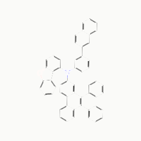 c1ccc(-c2c(-c3ccccc3)c3cc(N(c4cccc(-c5ccc6ccccc6c5)c4)c4cccc5oc6ccccc6c45)ccc3c3ccccc23)cc1